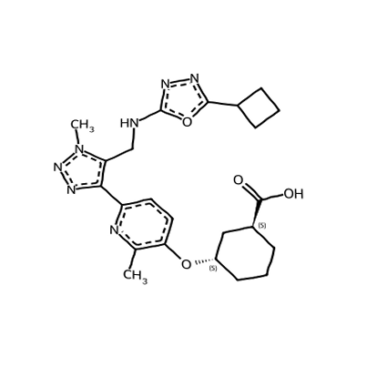 Cc1nc(-c2nnn(C)c2CNc2nnc(C3CCC3)o2)ccc1O[C@H]1CCC[C@H](C(=O)O)C1